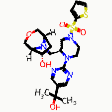 CC(C)(O)c1cnc(N2CCN(S(=O)(=O)c3cccs3)C[C@@H]2CN2[C@@H]3COC[C@H]2[C@@H](O)C3)nc1